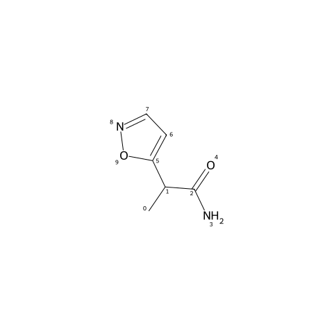 CC(C(N)=O)c1ccno1